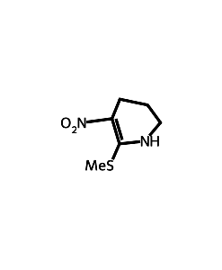 CSC1=C([N+](=O)[O-])CCCN1